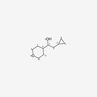 OC(CC1CC1)C1CCOCC1